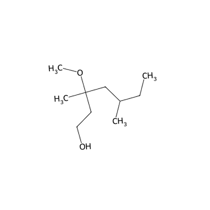 CCC(C)CC(C)(CCO)OC